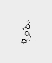 CN(Cc1ccc(OC(C(=O)O)c2cccc(S(C)(=O)=O)c2)cc1)S(=O)(=O)c1ccc(C#N)cc1